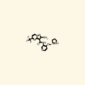 Nc1nn2ccc(C(F)(F)F)nc2c1C(=O)Nc1cnccc1OC[C@@H]1CCCN1